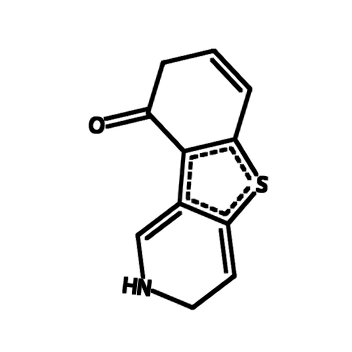 O=C1CC=Cc2sc3c(c21)=CNCC=3